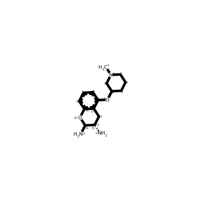 CN1CCCC(Oc2cccc3c2C[C@H](N)C(N)O3)C1